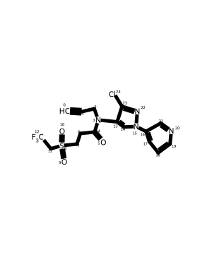 C#CCN(C(=O)CCS(=O)(=O)CC(F)(F)F)c1cn(-c2cccnc2)nc1Cl